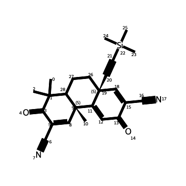 CC1(C)C(=O)C(C#N)=C[C@@]2(C)C3=CC(=O)C(C#N)=C[C@@]3(C#C[Si](C)(C)C)CCC12